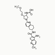 COCCOC1CN(c2ccc3c(n2)CC[C@H](NC(=O)c2sc4nc(C)ccc4c2N)C3)CC1NC(=O)O